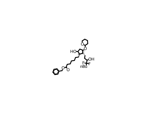 CCCCC(F)(F)C(O)CC[C@H]1[C@H](OC2CCCCO2)CC(O)[C@@H]1CCCCCCC(=O)OCc1ccccc1